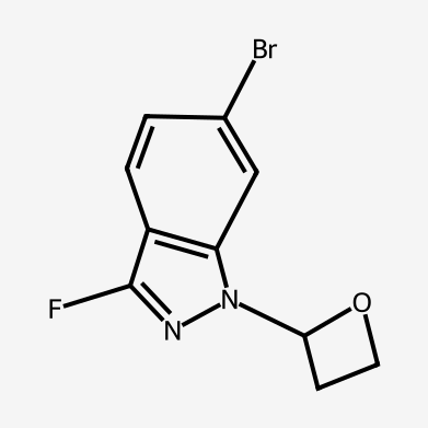 Fc1nn(C2CCO2)c2cc(Br)ccc12